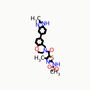 Cc1nc2cc(-c3ccc4c(c3)CN(C(=O)c3sc(NS(C)(=O)=O)nc3C)CCO4)ccc2[nH]1